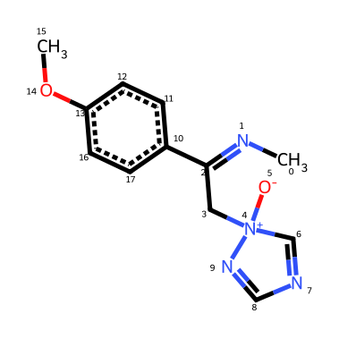 CN=C(C[N+]1([O-])C=NC=N1)c1ccc(OC)cc1